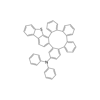 c1ccc(N(c2ccccc2)c2ccc3c4ccccc4c4ccccc4c4ccccc4c4c(ccc5c6ccccc6sc54)c3c2)cc1